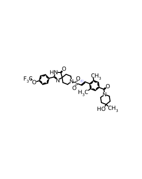 Cc1cc(C(=O)N2CCC(C)(O)CC2)cc(C)c1/C=C/S(=O)(=O)N1CCC2(CC1)N=C(c1ccc(OC(F)(F)F)cc1)NC2=O